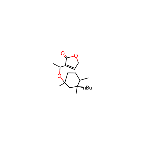 CCCC[C@@]1(C)CC(C)(OC(C)C2=CCOC2=O)CCC1C